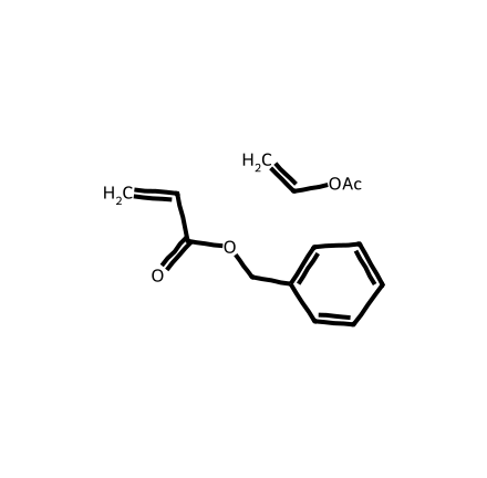 C=CC(=O)OCc1ccccc1.C=COC(C)=O